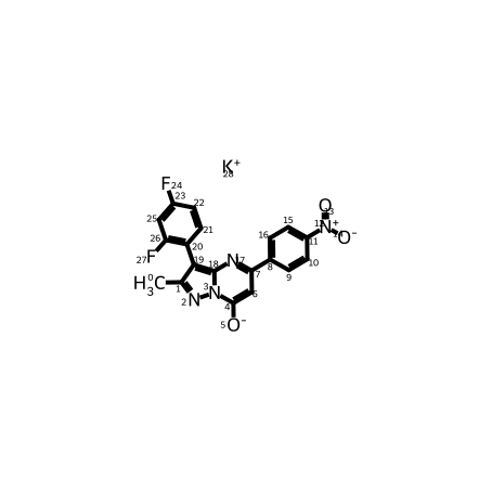 Cc1nn2c([O-])cc(-c3ccc([N+](=O)[O-])cc3)nc2c1-c1ccc(F)cc1F.[K+]